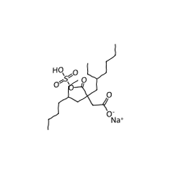 CCCCC(CC)CC(CC(=O)[O-])(CC(CC)CCCC)C(=O)OS(=O)(=O)O.[Na+]